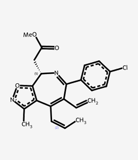 C=CC1=C(/C=C\C)c2c(C)noc2[C@H](CC(=O)OC)N=C1c1ccc(Cl)cc1